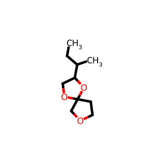 CCC(C)C1COC2(CCOC2)O1